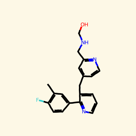 Cc1cc(-c2ncccc2Cc2ccnc(CNCO)c2)ccc1F